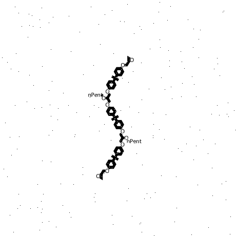 CCCCCOC(COc1ccc(C(C)(C)c2ccc(OCC(COc3ccc(C(C)(C)c4ccc(OCC5CO5)cc4)cc3)OCCCCC)cc2)cc1)COc1ccc(C(C)(C)c2ccc(OCC3CO3)cc2)cc1